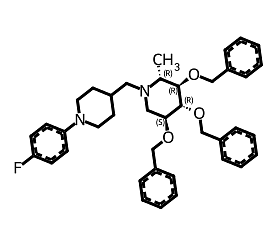 C[C@@H]1[C@@H](OCc2ccccc2)[C@H](OCc2ccccc2)[C@@H](OCc2ccccc2)CN1CC1CCN(c2ccc(F)cc2)CC1